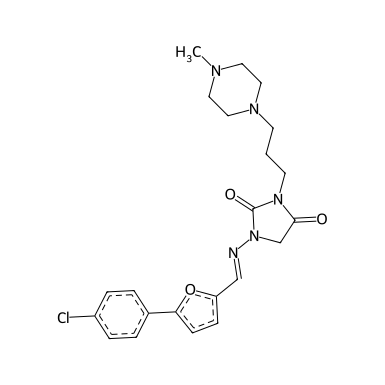 CN1CCN(CCCN2C(=O)CN(/N=C/c3ccc(-c4ccc(Cl)cc4)o3)C2=O)CC1